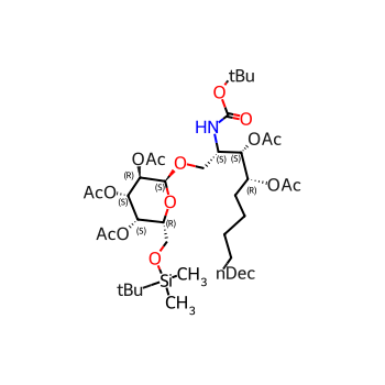 CCCCCCCCCCCCCC[C@@H](OC(C)=O)[C@@H](OC(C)=O)[C@H](CO[C@H]1O[C@H](CO[Si](C)(C)C(C)(C)C)[C@H](OC(C)=O)[C@H](OC(C)=O)[C@H]1OC(C)=O)NC(=O)OC(C)(C)C